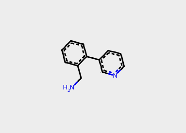 NCc1ccccc1-c1[c]nccc1